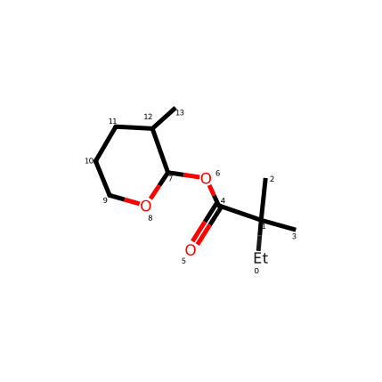 CCC(C)(C)C(=O)OC1OCCCC1C